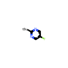 CC(C)(C)c1ncc(F)cn1